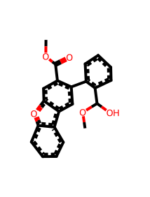 COC(=O)c1cc2oc3ccccc3c2cc1-c1ccccc1C(O)OC